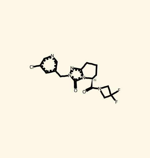 O=C([C@@H]1CCCc2nn(Cc3cncc(Cl)c3)c(=O)n21)N1CC(F)(F)C1